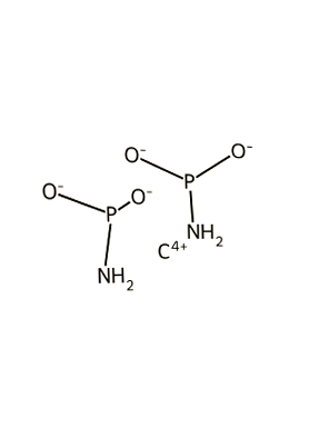 NP([O-])[O-].NP([O-])[O-].[C+4]